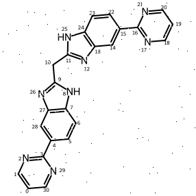 c1cnc(-c2ccc3[nH]c(Cc4nc5cc(-c6ncccn6)ccc5[nH]4)nc3c2)nc1